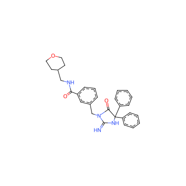 N=C1NC(c2ccccc2)(c2ccccc2)C(=O)N1Cc1cccc(C(=O)NCC2CCOCC2)c1